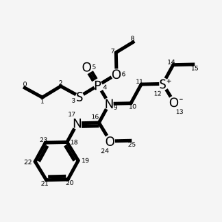 CCCSP(=O)(OCC)N(CC[S+]([O-])CC)C(=Nc1ccccc1)OC